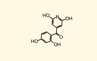 O=C(c1cc(O)nc(O)c1)c1ccc(O)cc1O